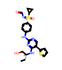 CC[C@H](CO)Nc1nc(Nc2ccc([S@](=O)(=NC=O)C3CC3)cc2)ncc1-c1cccs1